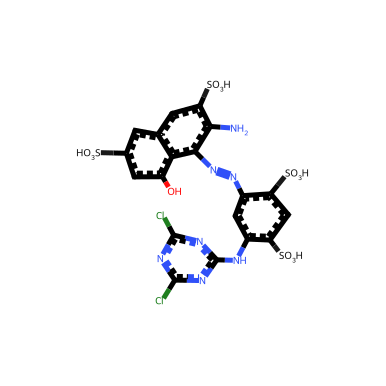 Nc1c(S(=O)(=O)O)cc2cc(S(=O)(=O)O)cc(O)c2c1N=Nc1cc(Nc2nc(Cl)nc(Cl)n2)c(S(=O)(=O)O)cc1S(=O)(=O)O